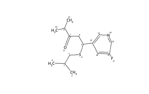 CC(C)CSC(CC(=O)C(C)C)c1cncc(F)c1